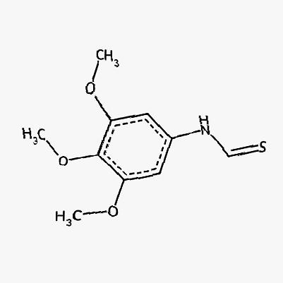 COc1cc(NC=S)cc(OC)c1OC